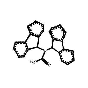 CC(=O)N(C1c2ccccc2-c2ccccc21)C1c2ccccc2-c2ccccc21